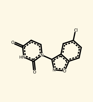 O=c1ccn(-c2noc3ccc(Cl)cc23)c(=O)[nH]1